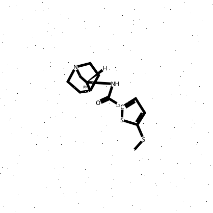 CSc1cc[13c](C(=O)N[C@H]2CN3CCC2CC3)s1